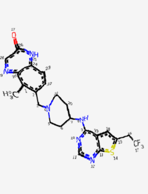 Cc1c(CN2CCC(Nc3ncnc4sc(CC(F)(F)F)cc34)CC2)ccc2[nH]c(=O)cnc12